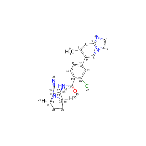 Cc1cc2nccn2cc1-c1ccc(C(=O)N[C@@H]2C[C@@H]3CC[C@H]2N3C#N)c(Cl)c1